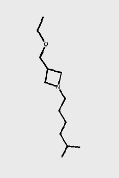 CCOCC1CN(CCCCC(C)C)C1